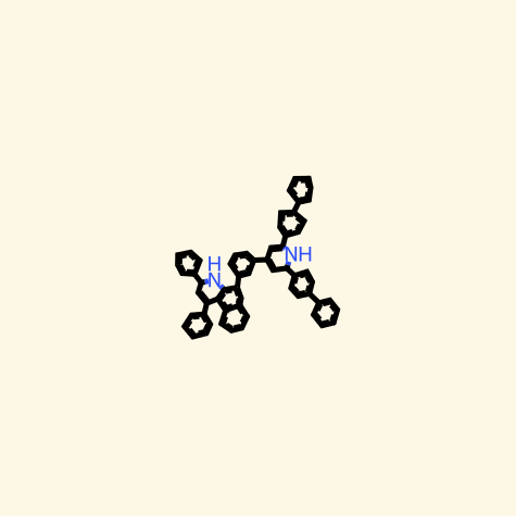 C1=C(c2cccc(-c3cc4ccccc4c4c3NC(c3ccccc3)C=C4c3ccccc3)c2)C=C(c2ccc(-c3ccccc3)cc2)NC1c1ccc(-c2ccccc2)cc1